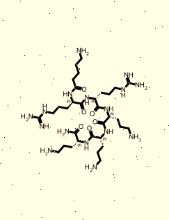 N=C(N)NCCC[C@@H](NC(=O)CCCCN)C(=O)N[C@H](CCCNC(=N)N)C(=O)N[C@H](CCCN)C(=O)N[C@H](CCCN)C(=O)N[C@H](CCCN)C(N)=O